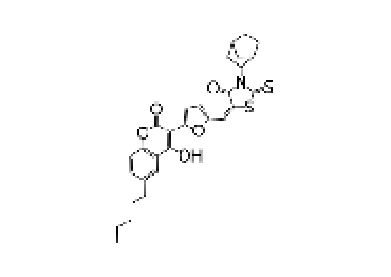 CCCCCc1ccc2oc(=O)c(-c3ccc(/C=C4/SC(=S)N(C5CC6CCC5C6)C4=O)o3)c(O)c2c1